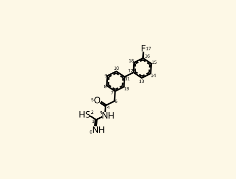 N=C(S)NC(=O)Cc1cccc(-c2cccc(F)c2)c1